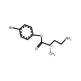 C[C@@H](CCN)C(=O)Oc1ccc(Br)cc1